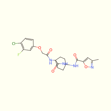 Cc1cc(C(=O)NC23CCC(NC(=O)COc4ccc(Cl)c(F)c4)(CC2)C(=O)N3)on1